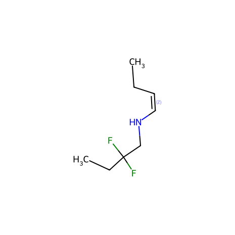 CC/C=C\NCC(F)(F)CC